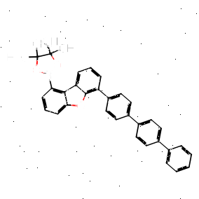 CC1(C)OB(c2cccc3oc4c(-c5ccc(-c6ccc(-c7ccccc7)cc6)cc5)cccc4c23)OC1(C)C